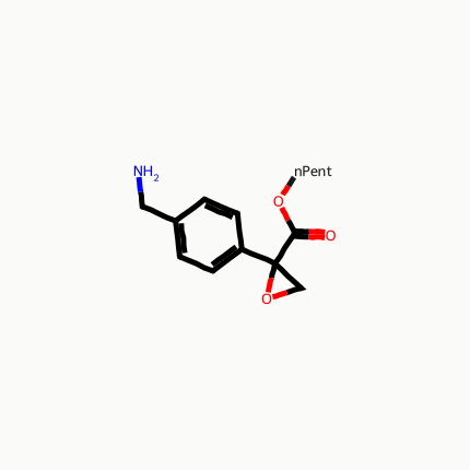 CCCCCOC(=O)C1(c2ccc(CN)cc2)CO1